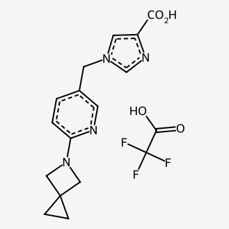 O=C(O)C(F)(F)F.O=C(O)c1cn(Cc2ccc(N3CC4(CC4)C3)nc2)cn1